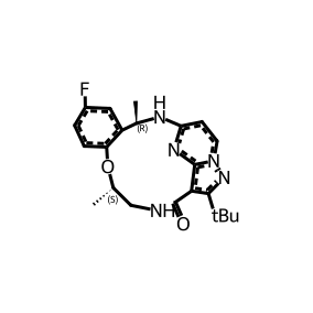 C[C@H]1CNC(=O)c2c(C(C)(C)C)nn3ccc(nc23)N[C@H](C)c2cc(F)ccc2O1